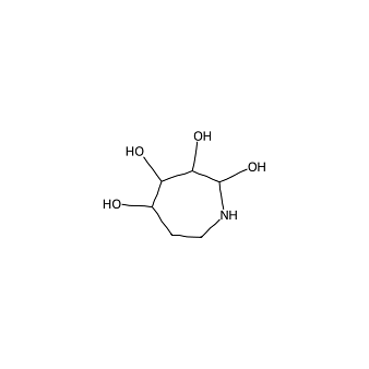 OC1CCNC(O)C(O)C1O